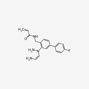 C=CC(=O)NCc1ccc(-c2ccc(F)cc2)cc1N(N)/C=C\N